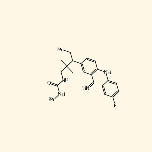 CC(C)CC(c1ccc(Nc2ccc(F)cc2)c(C=N)c1)C(C)(C)CNC(=O)NC(C)C